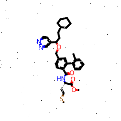 COC(=O)[C@H](CCSC)NC(=O)c1ccc(COC(CCC2CCCCC2)c2ccnnc2)cc1-c1ccccc1C